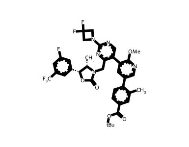 COc1ncc(-c2ccc(C(=O)OC(C)(C)C)cc2C)cc1-c1cnc(N2CC(F)(F)C2)nc1CN1C(=O)O[C@H](c2cc(F)cc(C(F)(F)F)c2)[C@@H]1C